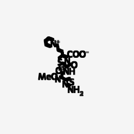 CO/N=C(\C(=O)NC1C(=O)N2C(C(=O)[O-])=C(/C=C/C[n+]3ccccc3)CS[C@H]12)c1csc(N)n1